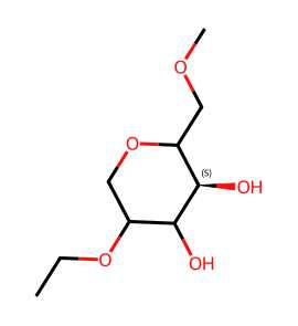 CCOC1COC(COC)[C@@H](O)C1O